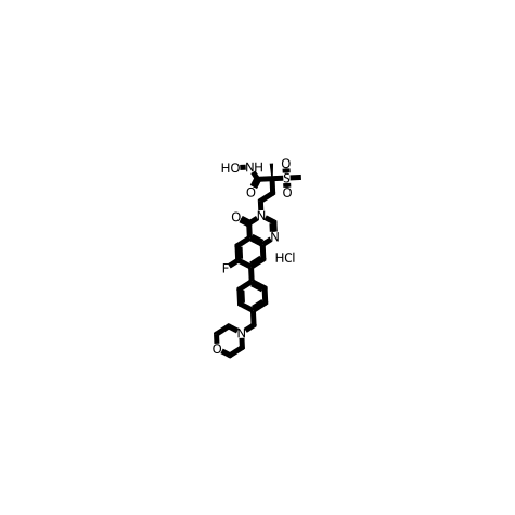 C[C@@](CCn1cnc2cc(-c3ccc(CN4CCOCC4)cc3)c(F)cc2c1=O)(C(=O)NO)S(C)(=O)=O.Cl